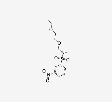 [CH2]COCCOCNS(=O)(=O)c1cccc([N+](=O)[O-])c1